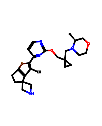 C[C@H]1COCCN1CC1(COc2nccc(-c3sc4c(c3C#N)C3(CC4)CNC3)n2)CC1